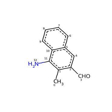 Cc1c(C=O)cc2ccccc2c1N